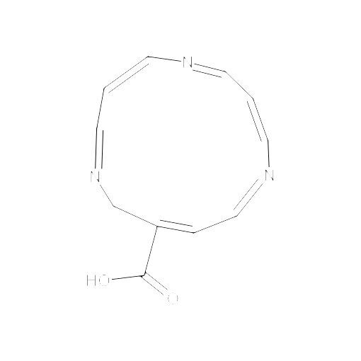 O=C(O)C1=CC=NC=CC=NC=CC=NC1